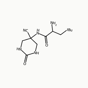 CC(C)(C)CC(N)C(=O)NC1(C#N)CNC(=O)NC1